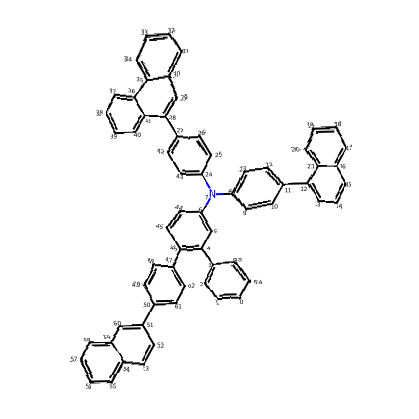 c1ccc(-c2cc(N(c3ccc(-c4cccc5ccccc45)cc3)c3ccc(-c4cc5ccccc5c5ccccc45)cc3)ccc2-c2ccc(-c3ccc4ccccc4c3)cc2)cc1